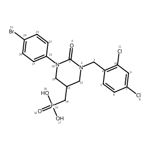 O=C1N(Cc2ccc(Cl)cc2Cl)CC(CP(=O)(O)O)CN1c1ccc(Br)cc1